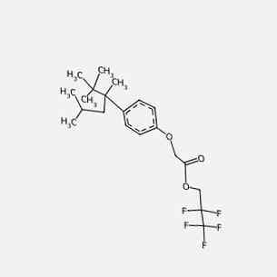 CC(C)CC(C)(c1ccc(OCC(=O)OCC(F)(F)C(F)(F)F)cc1)C(C)(C)C